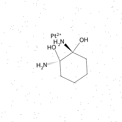 N[C@@]1(O)CCCC[C@@]1(N)O.[Pt+2]